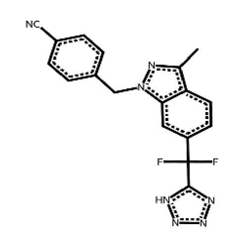 Cc1nn(Cc2ccc(C#N)cc2)c2cc(C(F)(F)c3nnn[nH]3)ccc12